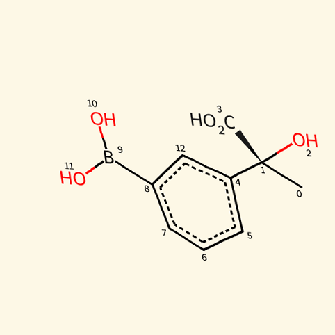 C[C@](O)(C(=O)O)c1cccc(B(O)O)c1